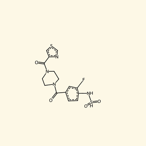 O=C(c1ccc(N[SH](=O)=O)c(F)c1)N1CCN(C(=O)c2cscn2)CC1